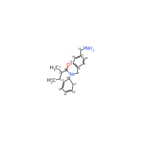 CCC(C)C(=O)N(Cc1ccc(CN)cc1)C1C=CC=CC1